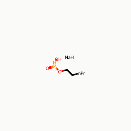 CCCCCO[PH](=O)O.[NaH]